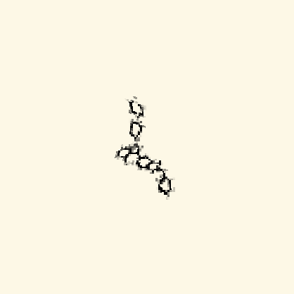 Nc1ncnc2c1c(-c1ccc3sc(Cc4ccccc4)nc3c1)nn2[C@H]1CC[C@H](N2CCOCC2)CC1